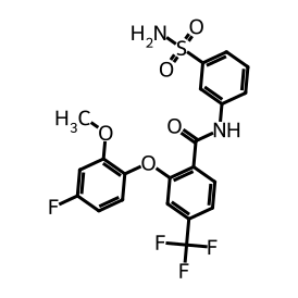 COc1cc(F)ccc1Oc1cc(C(F)(F)F)ccc1C(=O)Nc1cccc(S(N)(=O)=O)c1